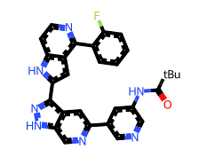 CC(C)(C)C(=O)Nc1cncc(-c2cc3c(-c4cc5c(-c6ccccc6F)nccc5[nH]4)n[nH]c3cn2)c1